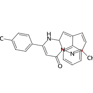 CC1=N/N2C(=O)C=C(c3ccc(C#N)cc3)NC2/C=C(c2ccccc2)/C=C\1